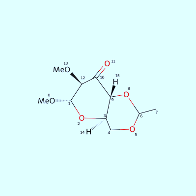 CO[C@H]1O[C@@H]2COC(C)O[C@H]2C(=O)[C@@H]1OC